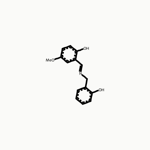 COc1ccc(O)c(/C=N/Cc2ccccc2O)c1